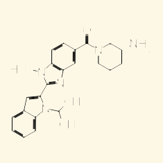 CC(C)n1c(-c2nc3cc(C(=O)N4CCC[C@@H](N)C4)ccc3n2C)cc2ccccc21